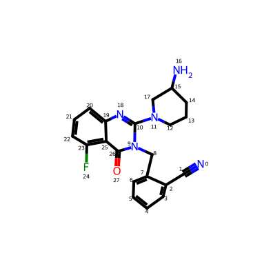 N#Cc1ccccc1Cn1c(N2CCCC(N)C2)nc2cccc(F)c2c1=O